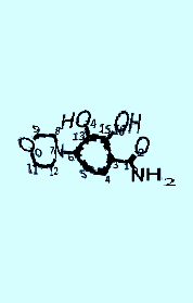 NC(=O)c1ccc(N2CCOCC2)c(O)c1O